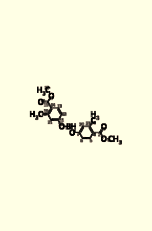 COC(=O)c1ccc(OBOc2ccc(C(=O)OC)c(C)c2)cc1C